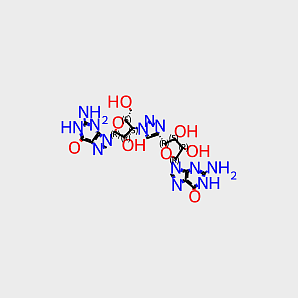 Nc1nc2c(ncn2[C@@H]2O[C@H](c3cn([C@H]4[C@@H](O)[C@H](n5cnc6c(=O)[nH]c(N)nc65)O[C@@H]4CO)nn3)[C@@H](O)[C@H]2O)c(=O)[nH]1